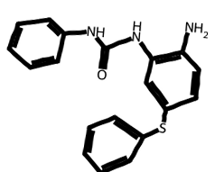 Nc1ccc(Sc2ccccc2)cc1NC(=O)Nc1ccccc1